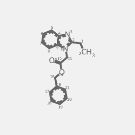 CCc1nc2ccccc2n1CC(=O)OCc1ccccc1